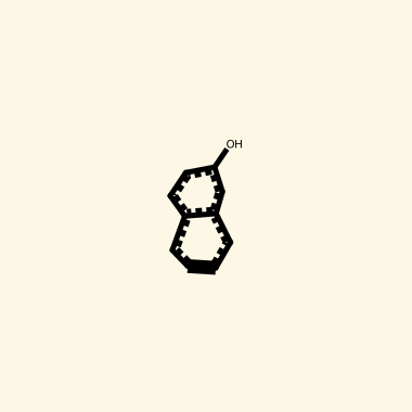 Oc1ccc2cc#ccc2c1